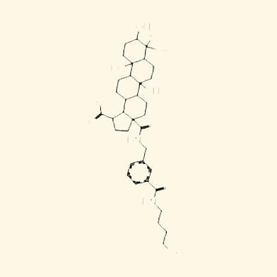 C=C(C)C1CCC2(C(=O)NCc3cccc(C(=O)NCCCCC(=O)O)c3)CCC3C(CCC4C3(C)CCC3C(C)(C)C(O)CCC34C)C12